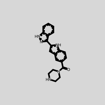 O=C(c1ccc2[nH]c(-c3n[nH]c4ccccc34)cc2c1)N1CCNCC1